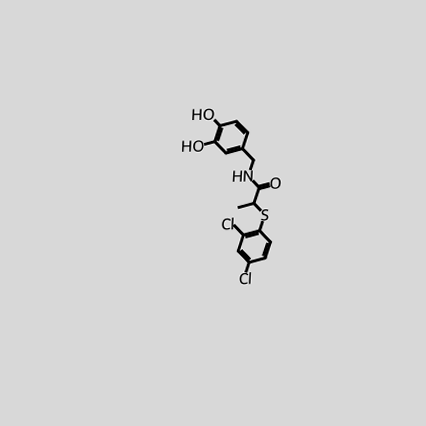 CC(Sc1ccc(Cl)cc1Cl)C(=O)NCc1ccc(O)c(O)c1